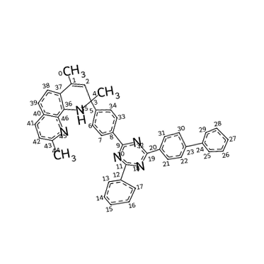 CC1=CC(C)(c2ccc(-c3nc(-c4ccccc4)nc(-c4ccc(-c5ccccc5)cc4)n3)cc2)Nc2c1ccc1ccc(C)nc21